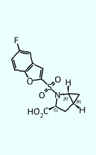 O=C(O)[C@@H]1C[C@H]2C[C@H]2N1S(=O)(=O)c1cc2cc(F)ccc2o1